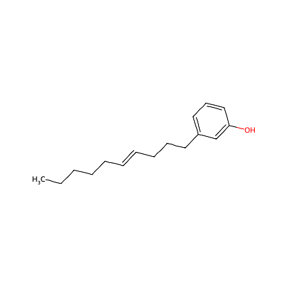 CCCCCC=CCCCc1cccc(O)c1